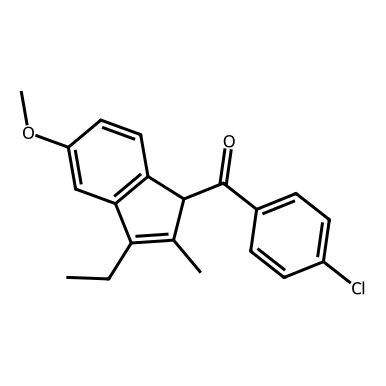 CCC1=C(C)C(C(=O)c2ccc(Cl)cc2)c2ccc(OC)cc21